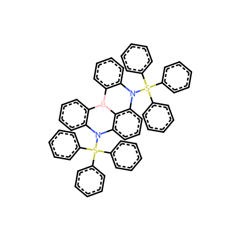 c1ccc(S(c2ccccc2)(c2ccccc2)N2c3ccccc3B3c4ccccc4N(S(c4ccccc4)(c4ccccc4)c4ccccc4)c4cccc2c43)cc1